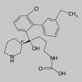 CCc1cccc(-c2c(Cl)cccc2C(O)(CCCNC(=O)O)[C@@H]2CCCNC2)c1